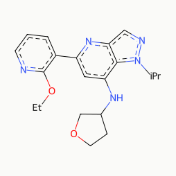 CCOc1ncccc1-c1cc(NC2CCOC2)c2c(cnn2C(C)C)n1